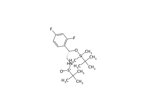 CC(C)(C)[S+]([O-])NC[C@@H](O[Si](C)(C)C(C)(C)C)c1ccc(F)cc1F